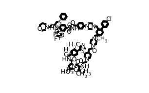 Cc1ncsc1-c1ccc([C@H](C)NC(=O)[C@@H]2C[C@@H](O)CN2C(=O)[C@@H](NC(=O)CN2CCC(CC(=O)N3CCN(C[C@]4(C)CCC(c5ccc(Cl)cc5)=C(CN5CCN(c6ccc(C(=O)NS(=O)(=O)c7ccc(N[C@H](CCN8CCCOCC8)CSc8ccccc8)c(S(=O)(=O)C(F)(F)F)c7)cc6)CC5)C4)CC3)CC2)C(C)(C)C)cc1